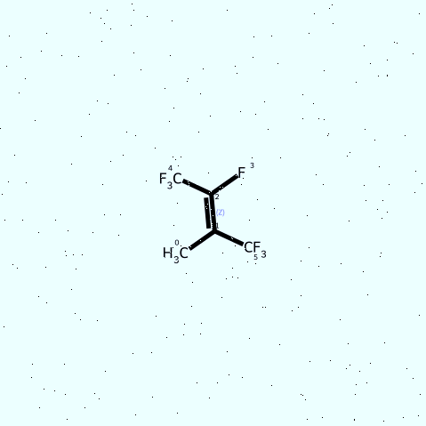 C/C(=C(/F)C(F)(F)F)C(F)(F)F